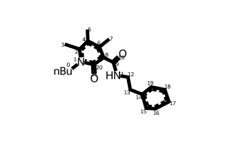 CCCCn1c(C)c(C)c(C)c(C(=O)NCCc2ccccc2)c1=O